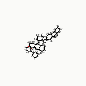 c1ccc(-c2ccccc2-c2c3ccccc3c(-c3cccc4c3oc3cc5oc6ccccc6c5cc34)c3ccccc23)cc1